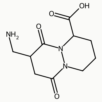 NCC1CC(=O)N2CCCC(C(=O)O)N2C1=O